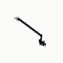 CCCN(CCC)C(=O)C1=Cc2c(cnn2CCCCCN(C)CCOCCOCCOCCOCCOCCOCCOCCOCCOCCOCCC(=O)O)N=C(N)C1